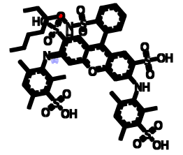 CCCCC(CC)CNS(=O)(=O)c1ccccc1-c1c2cc(S(=O)(=O)O)/c(=N/c3c(C)cc(C)c(S(=O)(=O)O)c3C)cc-2oc2cc(Nc3c(C)cc(C)c(S(=O)(=O)O)c3C)c(S(=O)(=O)O)cc12